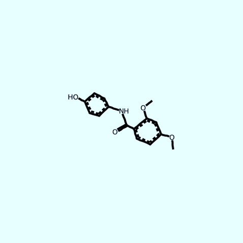 COc1ccc(C(=O)Nc2ccc(O)cc2)c(OC)c1